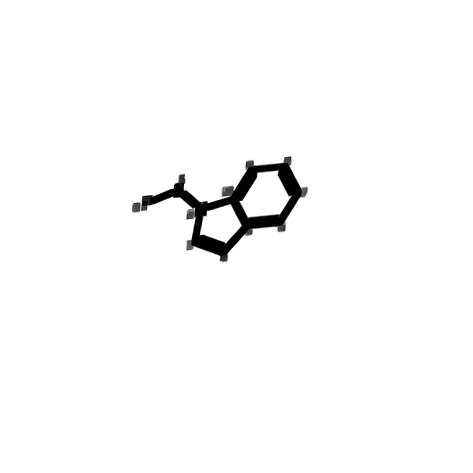 FSn1ccc2ccccc21